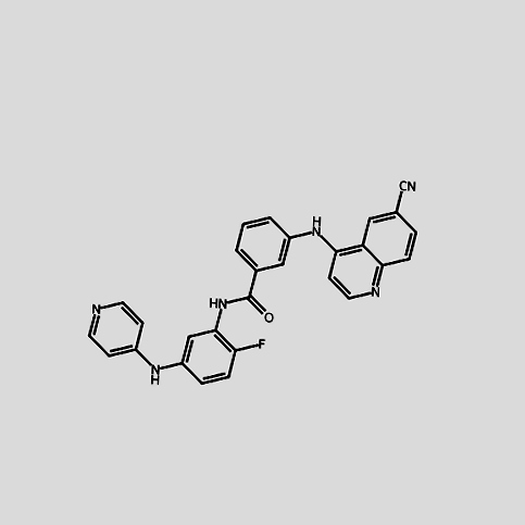 N#Cc1ccc2nccc(Nc3cccc(C(=O)Nc4cc(Nc5ccncc5)ccc4F)c3)c2c1